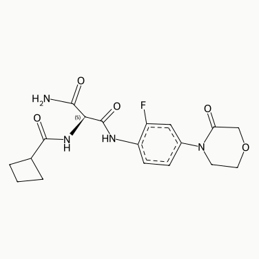 NC(=O)[C@H](NC(=O)C1CCC1)C(=O)Nc1ccc(N2CCOCC2=O)cc1F